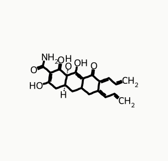 C=C/C=C1/CC2C[C@H]3CC(O)=C(C(N)=O)C(=O)[C@@]3(O)C(O)=C2C(=O)/C1=C/C=C